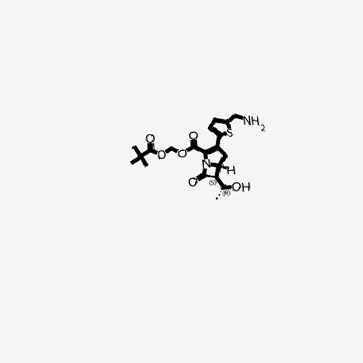 C[C@@H](O)[C@H]1C(=O)N2C(C(=O)OCOC(=O)C(C)(C)C)=C(c3ccc(CN)s3)C[C@H]12